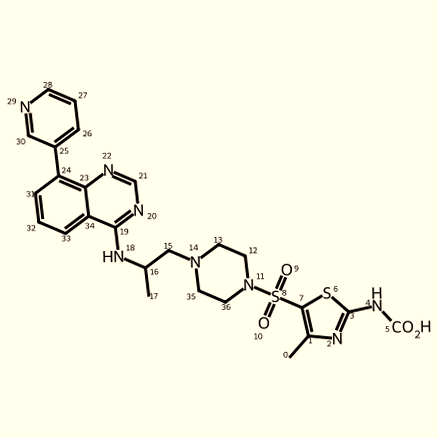 Cc1nc(NC(=O)O)sc1S(=O)(=O)N1CCN(CC(C)Nc2ncnc3c(-c4cccnc4)cccc23)CC1